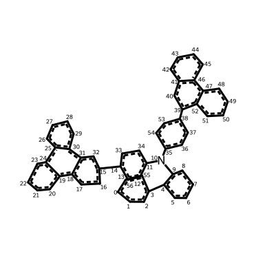 c1ccc(-c2ccccc2N(c2ccc(-c3ccc4c5ccccc5c5ccccc5c4c3)cc2)c2ccc(-c3cc4ccccc4c4ccccc34)cc2)cc1